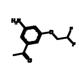 CC(=O)c1cc(N)cc(OCC(F)F)c1